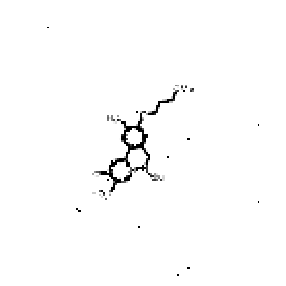 COCCCOc1cc2c(cc1C)-c1cc(=O)c(C(=O)O)cn1N(C(C)(C)C)C2